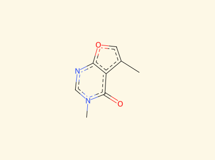 Cc1coc2ncn(C)c(=O)c12